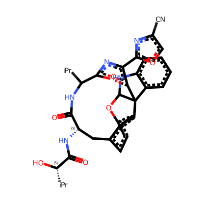 CC(C)C1NC(=O)[C@@H](NC(=O)[C@@H](O)C(C)C)Cc2ccc3c(c2)C2(c4ccccc4NC2O3)c2oc1nc2-c1nc(C#N)co1